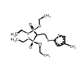 CCOP(=O)(OCC)C(CSc1cc(C)cs1)P(=O)(OCC)OCC